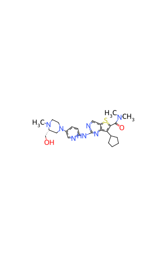 CN(C)C(=O)c1sc2cnc(Nc3ccc(N4CCN(C)[C@@H](CO)C4)cn3)nc2c1C1CCCC1